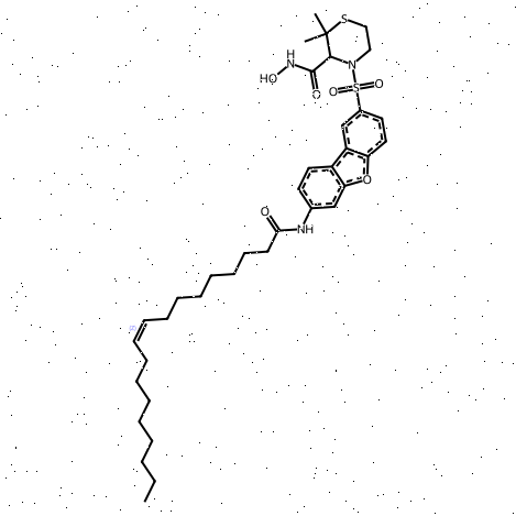 CCCCCCCC/C=C\CCCCCCCC(=O)Nc1ccc2c(c1)oc1ccc(S(=O)(=O)N3CCSC(C)(C)C3C(=O)NO)cc12